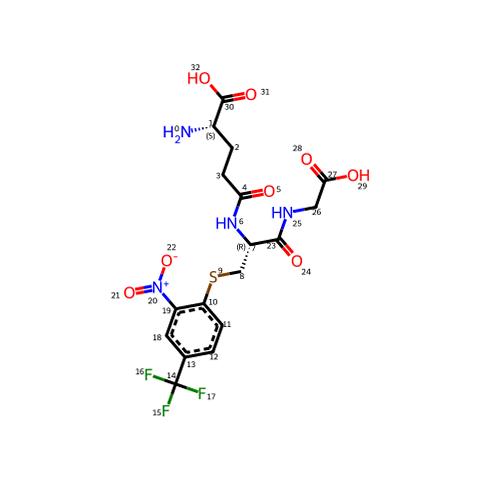 N[C@@H](CCC(=O)N[C@@H](CSc1ccc(C(F)(F)F)cc1[N+](=O)[O-])C(=O)NCC(=O)O)C(=O)O